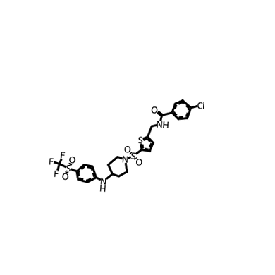 O=C(NCc1ccc(S(=O)(=O)N2CCC(Nc3ccc(S(=O)(=O)C(F)(F)F)cc3)CC2)s1)c1ccc(Cl)cc1